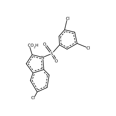 O=C(O)c1cc2cc(Cl)ccc2n1S(=O)(=O)c1cc(Cl)cc(Cl)c1